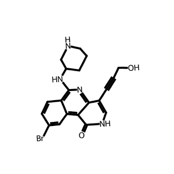 O=c1[nH]cc(C#CCO)c2nc(NC3CCCNC3)c3ccc(Br)cc3c12